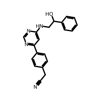 N#CCc1ccc(-c2cc(NCC(O)c3ccccc3)ncn2)cc1